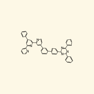 c1ccc(-c2cc(-c3ccccn3)nc(-c3cc(-c4cccc(-c5ccc(-c6nc(-c7ccccc7)nc(-c7ccccc7)n6)cc5)c4)ccn3)c2)cc1